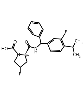 CC(C)c1ccc(C(NC(=O)[C@H]2CC(F)CN2C(=O)O)c2ccccc2)cc1F